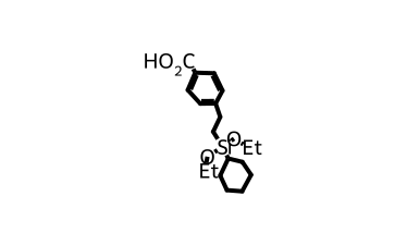 CCO[Si](CCc1ccc(C(=O)O)cc1)(OCC)C1CCCCC1